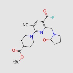 CC(C)(C)OC(=O)C1CCN(c2nc(CN3CCCC3=O)c(C(=O)F)cc2C#N)CC1